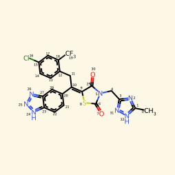 Cc1nc(CN2C(=O)S/C(=C(/Cc3ccc(Cl)cc3C(F)(F)F)c3ccc4[nH]nnc4c3)C2=O)n[nH]1